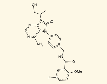 COc1ccc(F)cc1C(=O)NCc1ccc(-n2c(=O)n(C(C)CO)c3ncnc(N)c32)cc1